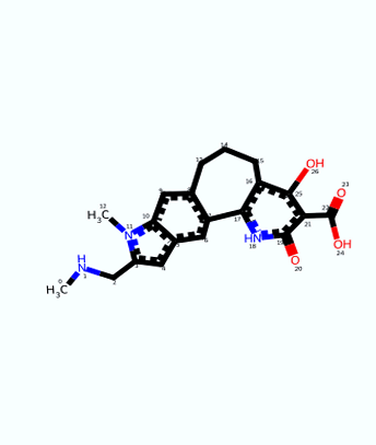 CNCc1cc2cc3c(cc2n1C)CCCc1c-3[nH]c(=O)c(C(=O)O)c1O